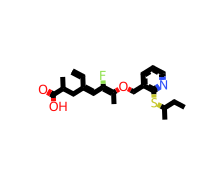 C=C/C(=C\C(F)=C(/C)OCc1cccnc1SC(C)CC)CC(C)C(=O)O